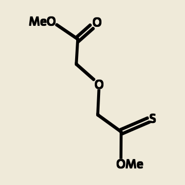 COC(=O)COCC(=S)OC